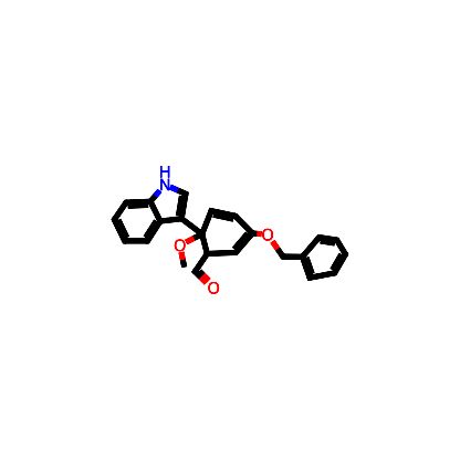 COC1(c2c[nH]c3ccccc23)C=CC(OCc2ccccc2)=CC1C=O